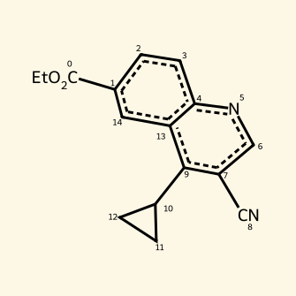 CCOC(=O)c1ccc2ncc(C#N)c(C3CC3)c2c1